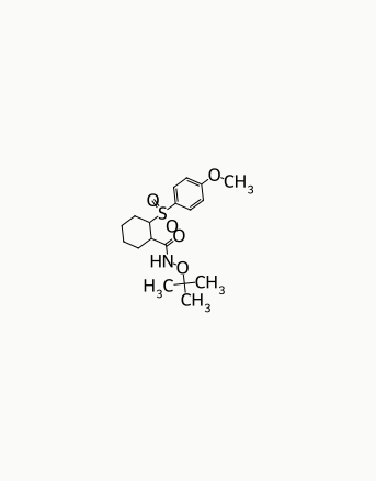 COc1ccc(S(=O)(=O)C2CCCCC2C(=O)NOC(C)(C)C)cc1